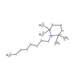 CCCCCCCCN1C(C)(C)C[CH]CC1(C)C